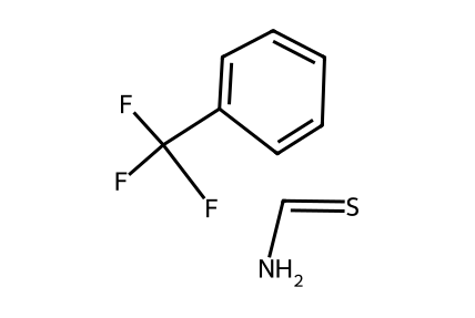 FC(F)(F)c1ccccc1.NC=S